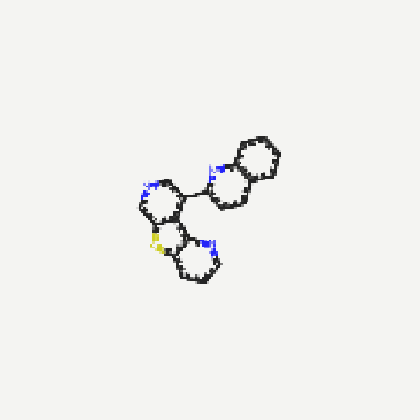 c1ccc2nc(-c3cncc4sc5cccnc5c34)ccc2c1